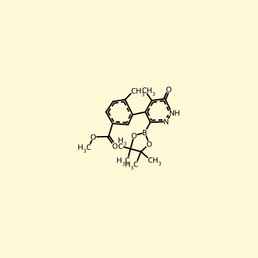 COC(=O)c1ccc(C)c(-c2c(B3OC(C)(C)C(C)(C)O3)n[nH]c(=O)c2C)c1